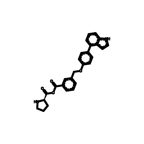 O=C(OC(=O)[C@@H]1CCCN1)c1cccc(COc2ccc(-c3cccc4[nH]ccc34)cc2)c1